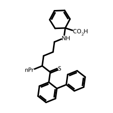 CCCC(CCCNC1(C(=O)O)C=CC=CC1)C(=S)c1ccccc1-c1ccccc1